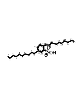 CCCCCCCCCCc1ccc(CCCCCCCCCC)c(S(=O)(=O)O)c1